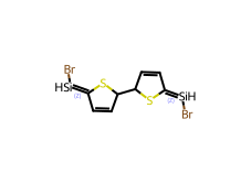 Br/[SiH]=C1/C=CC(C2C=C/C(=[SiH]/Br)S2)S1